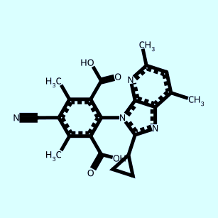 Cc1cc(C)c2nc(C3CC3)n(-c3c(C(=O)O)c(C)c(C#N)c(C)c3C(=O)O)c2n1